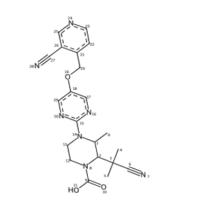 CC1C(C(C)(C)C#N)N(C(=O)O)CCN1c1ncc(OCc2ccncc2C#N)cn1